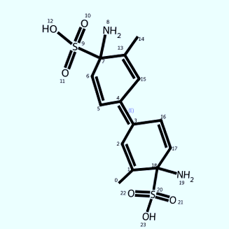 CC1=C/C(=C2\C=CC(N)(S(=O)(=O)O)C(C)=C2)C=CC1(N)S(=O)(=O)O